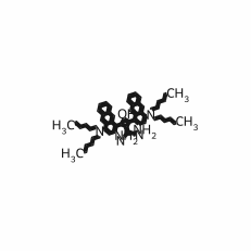 CCCCCCN(CCCCCC)c1cc(N)c(C2=C(O)C(c3c(N)cc(N(CCCCCC)CCCCCC)c4cc5ccccc5cc34)C2=C(C#N)C#N)c2cc3ccccc3cc12